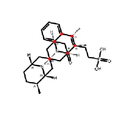 C[C@@H]1[C@@H]2C[C@@H](C[C@@H](N3[C@@H]4CC[C@H](C)[C@H]3C[C@@H](n3c(=O)c(CCP(=O)(O)O)nc5ccccc53)C4)C2)C[C@@H]1C